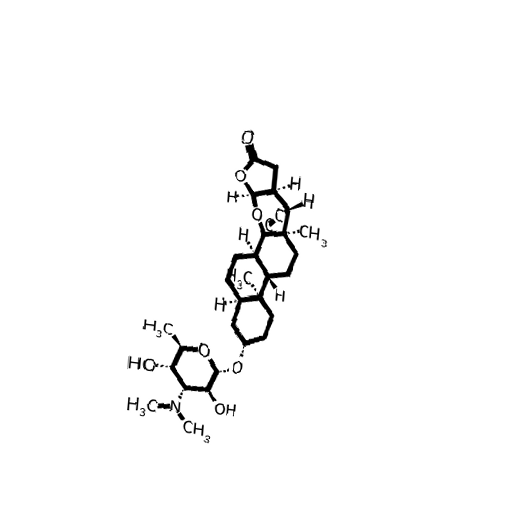 C[C@H]1O[C@H](O[C@H]2CC[C@@]3(C)[C@H](CC[C@@H]4[C@@H]3CC[C@]3(C)[C@@H]5CC[C@]43O[C@H]3OC(=O)C[C@H]35)C2)[C@@H](O)[C@H](N(C)C)[C@@H]1O